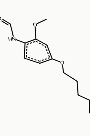 CCCCCOc1ccc(NC=O)c(OC)c1